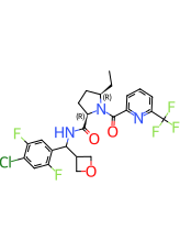 CC[C@@H]1CC[C@H](C(=O)NC(c2cc(F)c(Cl)cc2F)C2COC2)N1C(=O)c1cccc(C(F)(F)F)n1